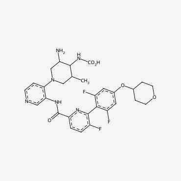 CC1CN(c2ccncc2NC(=O)c2ccc(F)c(-c3c(F)cc(OC4CCOCC4)cc3F)n2)CC(N)C1NC(=O)O